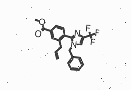 C=CCc1cc(C(=O)OC)ccc1-c1nc(C(F)(F)F)cn1Cc1ccccc1